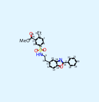 CCc1ccc(S(=O)(=O)NCCc2ccc3oc(-c4ccccc4)nc3c2)cc1C(=O)OC